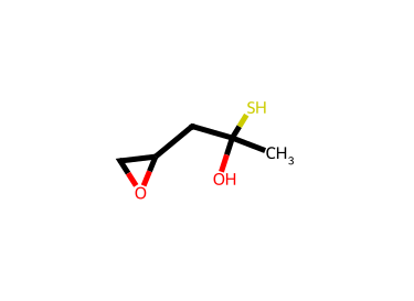 CC(O)(S)CC1CO1